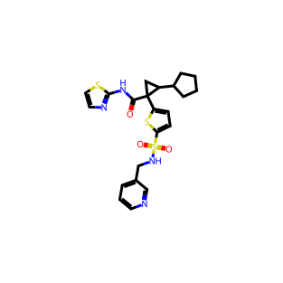 O=C(Nc1nccs1)C1(c2ccc(S(=O)(=O)NCc3cccnc3)s2)CC1C1CCCC1